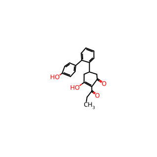 CCC(=O)C1=C(O)CC(c2ccccc2-c2ccc(O)cc2)CC1=O